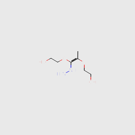 CC(OCCO)=C(NN)OCCO